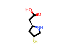 O=C(O)C[C@@H]1C[C@@H](S)CN1